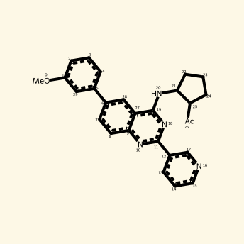 COc1cccc(-c2ccc3nc(-c4cccnc4)nc(NC4CCCC4C(C)=O)c3c2)c1